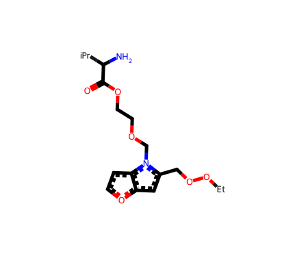 CCOOCc1cc2occc2n1COCCOC(=O)C(N)C(C)C